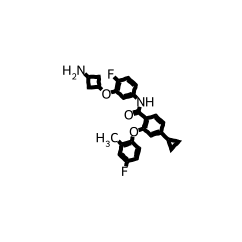 Cc1cc(F)ccc1Oc1cc(C2CC2)ccc1C(=O)Nc1ccc(F)c(OC2CC(N)C2)c1